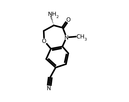 CN1C(=O)[C@@H](N)COc2cc(C#N)ccc21